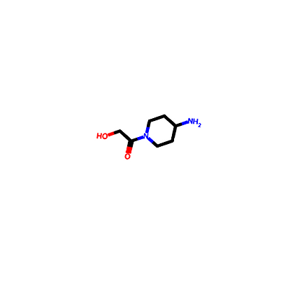 NC1CCN(C(=O)CO)CC1